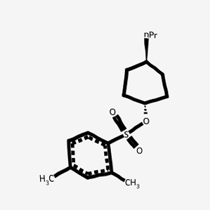 CCC[C@H]1CC[C@H](OS(=O)(=O)c2ccc(C)cc2C)CC1